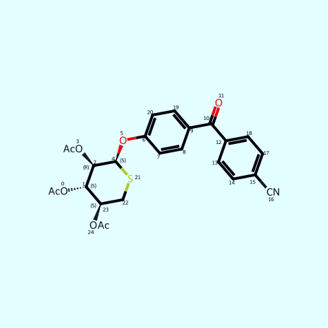 CC(=O)O[C@@H]1[C@@H](OC(C)=O)[C@@H](Oc2ccc(C(=O)c3ccc(C#N)cc3)cc2)SC[C@H]1OC(C)=O